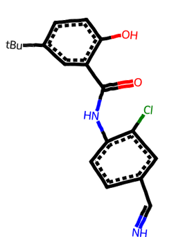 CC(C)(C)c1ccc(O)c(C(=O)Nc2ccc(C=N)cc2Cl)c1